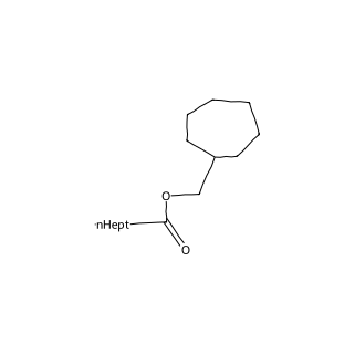 CCCCCC[CH]C(=O)OCC1CCCCCC1